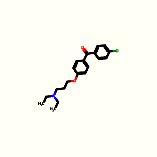 CCN(CC)CCCOc1ccc(C(=O)c2ccc(Cl)cc2)cc1